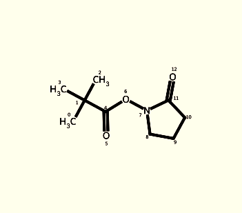 CC(C)(C)C(=O)ON1CCCC1=O